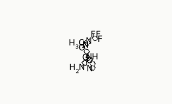 C[C@@H]1CN(Cc2ccc(F)c(F)c2F)CCN1C(=O)c1ccc(NS(=O)(=O)c2ccc(N)cc2-c2cccc3cccnc23)cc1